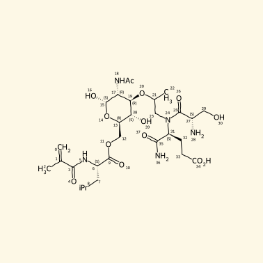 C=C(C)C(=O)N[C@@H](CC(C)C)C(=O)OC[C@H]1O[C@H](O)[C@H](NC(C)=O)[C@@H](OC(C)CN(C(=O)[C@@H](N)CO)[C@@H](CCC(=O)O)C(N)=O)[C@@H]1O